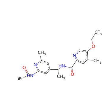 Cc1cc(C(C)NC(=O)c2cc(C)c(OCC(F)(F)F)cn2)cc(NC(=O)C(C)C)n1